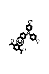 COc1ccc(N(c2ccc(OC)cc2)c2ccc3c(c2)N2Cc4c(C(C)=O)ccc(C(C)=O)c4N(C3)C2)cc1